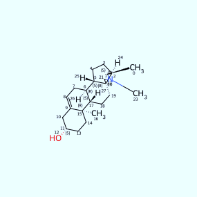 C[C@H]1[C@H]2CC[C@H]3[C@@H]4CC=C5C[C@@H](O)CC[C@]5(C)[C@H]4CC[C@]23CN1C